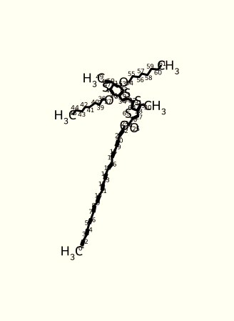 CC#CC#CC#CC#CC#CC#CC#CC#CC#CC#CC#COC(=O)c1cc2c(C)sc(-c3cc4c(OCCCCCCCC)c5sc(C)cc5c(OCCCCCCCC)c4s3)c2s1